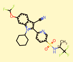 C[C@H](NS(=O)(=O)c1ccc(-c2c(C#N)c3ccc(OC(F)F)cc3n2C2CCCCC2)nc1)C(F)(F)F